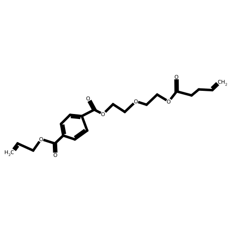 C=CCCC(=O)OCCOCCOC(=O)c1ccc(C(=O)OCC=C)cc1